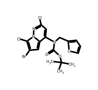 CC(C)(C)OC(=O)N(Cc1ccco1)c1cc(Cl)nn2c(Cl)c(Br)cc12